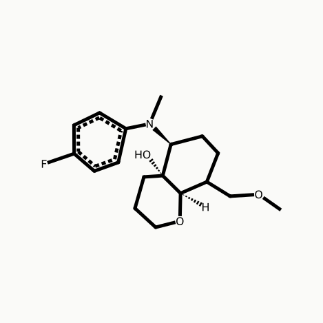 COCC1CC[C@H](N(C)c2ccc(F)cc2)[C@]2(O)CCCO[C@H]12